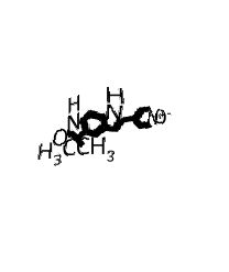 CC1(C)C(=O)Nc2cc3[nH]c(-c4cc[n+]([O-])cc4)cc3cc21